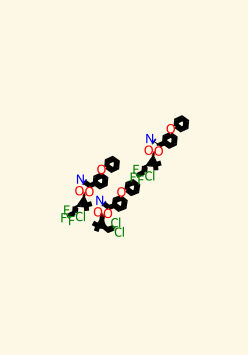 CC1(C)C(C=C(Cl)Cl)C1C(=O)OC(C#N)c1cccc(Oc2ccccc2)c1.CC1(C)[C@H](C(=O)OC(C#N)c2cccc(Oc3ccccc3)c2)[C@@H]1/C=C(\Cl)C(F)(F)F.CC1(C)[C@H](C(=O)O[C@H](C#N)c2cccc(Oc3ccccc3)c2)[C@@H]1/C=C(\Cl)C(F)(F)F